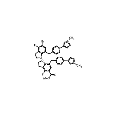 COC(=O)c1cc(Cc2ccc(-c3cnn(C)c3)cc2)c2c(c1F)CCO2.Cn1cc(-c2ccc(Cc3cc(Br)c(F)c4c3OCC4)cc2)cn1